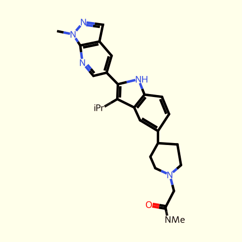 CNC(=O)CN1CCC(c2ccc3[nH]c(-c4cnc5c(cnn5C)c4)c(C(C)C)c3c2)CC1